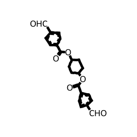 O=Cc1ccc(C(=O)OC2CCC(OC(=O)c3ccc(C=O)cc3)CC2)cc1